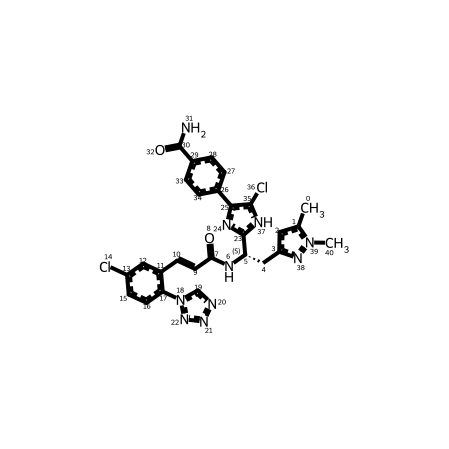 Cc1cc(C[C@H](NC(=O)C=Cc2cc(Cl)ccc2-n2cnnn2)c2nc(-c3ccc(C(N)=O)cc3)c(Cl)[nH]2)nn1C